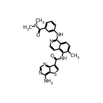 Cc1ccc2c(Nc3cccc(C(=O)N(C)C)c3)nccc2c1NC(=O)c1csc2c(N)ncnc12